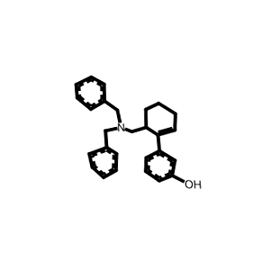 Oc1cccc(C2=CCCCC2CN(Cc2ccccc2)Cc2ccccc2)c1